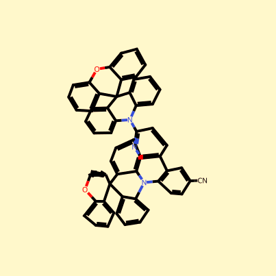 N#Cc1ccc(N2c3ccccc3C3(c4ccccc4Oc4ccccc43)c3ccccc32)c(-c2ccc(N3c4ccccc4C4(c5ccccc5Oc5ccccc54)c4ccccc43)nc2)c1